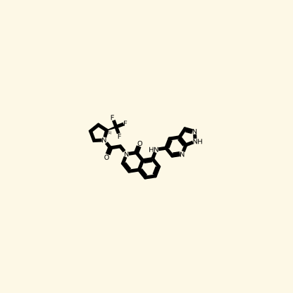 O=C(Cn1ccc2cccc(Nc3cnc4[nH]ncc4c3)c2c1=O)N1CCC[C@H]1C(F)(F)F